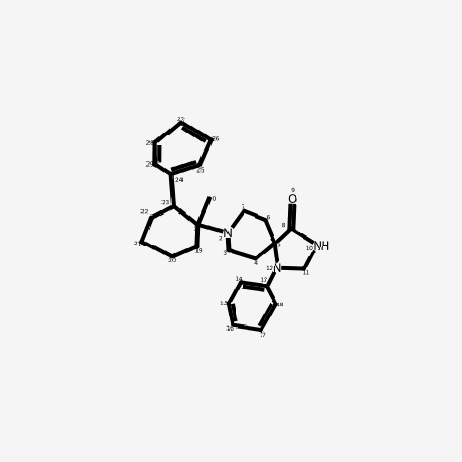 CC1(N2CCC3(CC2)C(=O)NCN3c2ccccc2)CCCCC1c1ccccc1